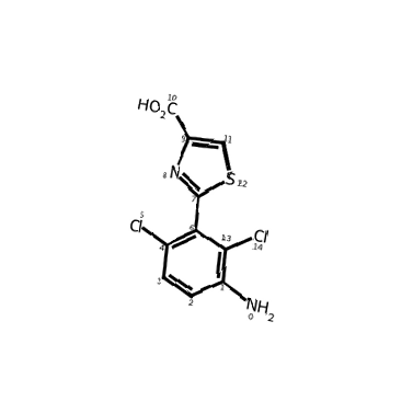 Nc1ccc(Cl)c(-c2nc(C(=O)O)cs2)c1Cl